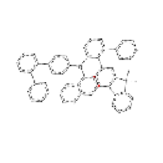 CC1(C)c2ccccc2-c2ccc(-c3c(-c4ccccc4)cccc3N(c3ccc(-c4ccccc4-c4ccccc4)cc3)c3cccc4ccccc34)cc21